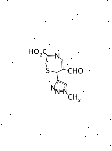 Cn1cc(C2SCC(C(=O)O)=NC=C2C=O)nn1